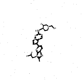 Cc1nc2ccc(-c3ccn4nc(NC5CCN(CC(C)C)CC5F)ncc34)nc2n1CC(F)F